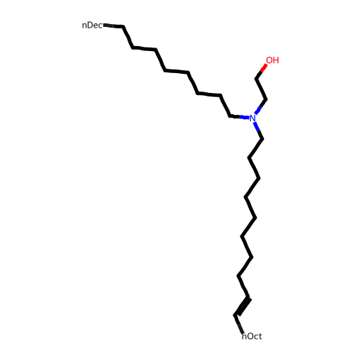 CCCCCCCCC=CCCCCCCCCN(CCO)CCCCCCCCCCCCCCCCCC